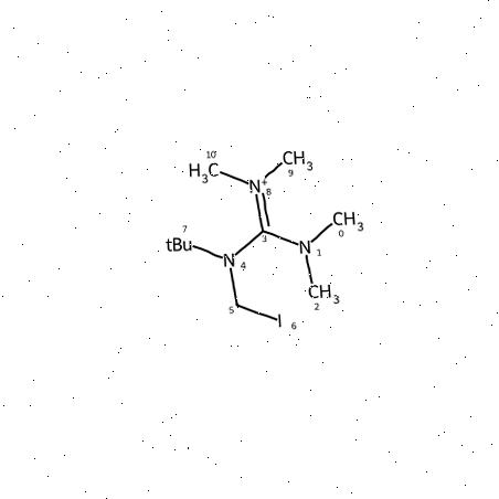 CN(C)C(N(CI)C(C)(C)C)=[N+](C)C